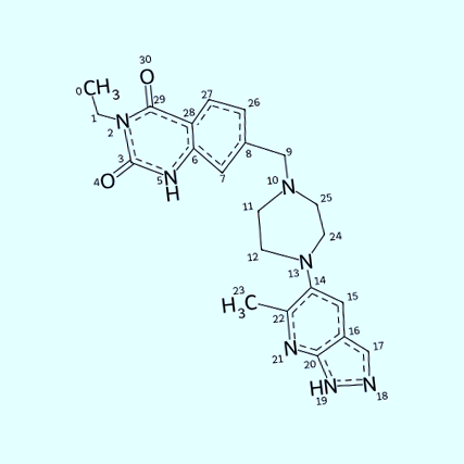 CCn1c(=O)[nH]c2cc(CN3CCN(c4cc5cn[nH]c5nc4C)CC3)ccc2c1=O